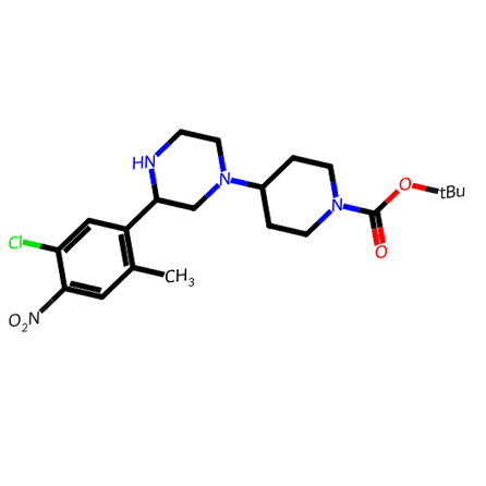 Cc1cc([N+](=O)[O-])c(Cl)cc1C1CN(C2CCN(C(=O)OC(C)(C)C)CC2)CCN1